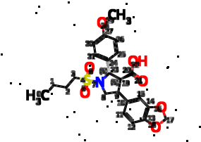 CCCCS(=O)(=O)N1CC(c2ccc3c(c2)OCO3)[C@H](C(=O)O)[C@H]1c1ccc(OC)cc1